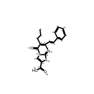 CCCc1c(/C=C/c2ccccc2)nc2sc(C(=O)O)cn2c1=O